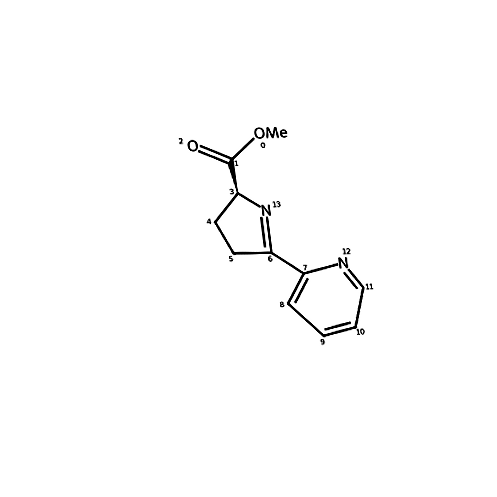 COC(=O)[C@@H]1CCC(c2ccccn2)=N1